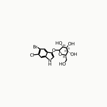 OC[C@H]1OC(Oc2c[nH]c3cc(Cl)c(Br)cc23)[C@H](O)[C@@H](O)[C@@H]1O